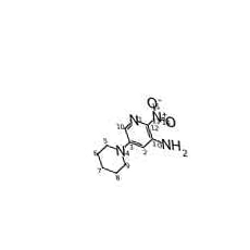 Nc1cc(N2CCCCC2)cnc1[N+](=O)[O-]